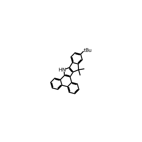 CC(C)(C)c1ccc2c(c1)C(C)(C)c1c-2[nH]c2c3ccccc3c3ccccc3c12